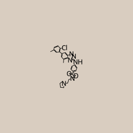 Cc1ccc(Cl)c(-c2cc(C)c3nc(Nc4ccc(S(=O)(=O)N(C)CCN5CCCC5)cc4)nnc3c2)c1